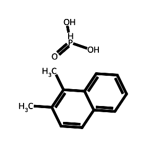 Cc1ccc2ccccc2c1C.O=[PH](O)O